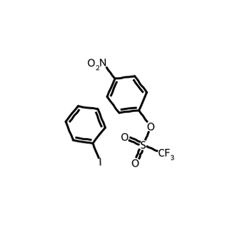 Ic1ccccc1.O=[N+]([O-])c1ccc(OS(=O)(=O)C(F)(F)F)cc1